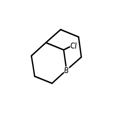 ClC1B2CCCC1CCC2